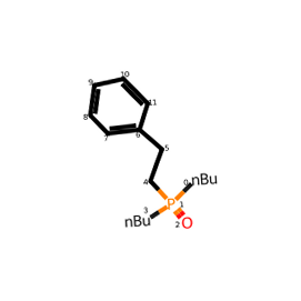 CCCCP(=O)(CCCC)CCc1ccccc1